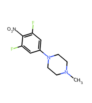 CN1CCN(c2cc(F)c([N+](=O)[O-])c(F)c2)CC1